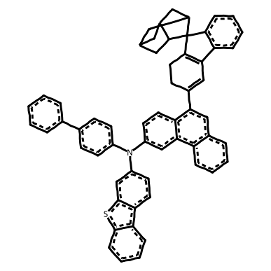 C1=C(c2cc3ccccc3c3cc(N(c4ccc(-c5ccccc5)cc4)c4ccc5c(c4)sc4ccccc45)ccc23)CCC2=C1c1ccccc1C21C2CC3CC(C2)C1C3